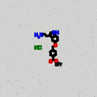 CCCOC(=O)c1ccc(COc2ccc3[nH]cc(CCN)c3c2)cc1.Cl